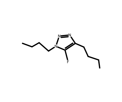 CCCCc1nnn(CCCC)c1F